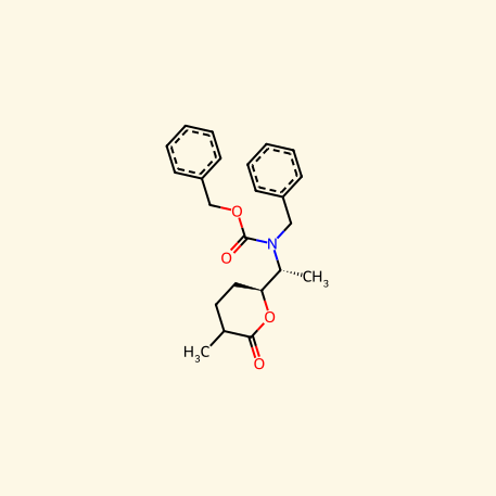 CC1CC[C@@H]([C@@H](C)N(Cc2ccccc2)C(=O)OCc2ccccc2)OC1=O